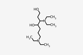 CCN(CC)CCCC(O)C(CCO)N(CC)CC